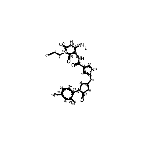 CCCn1c(=O)[nH]c(N)c(NC(=O)c2cnn(CC3CC(=O)N(c4ccc(F)cc4F)C3)c2)c1=O